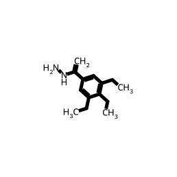 C=C(NN)c1cc(CC)c(CC)c(CC)c1